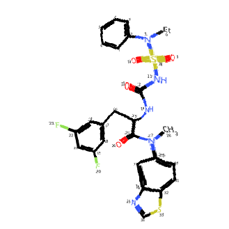 CCN(c1ccccc1)S(=O)(=O)NC(=O)NC(Cc1cc(F)cc(F)c1)C(=O)N(C)c1ccc2scnc2c1